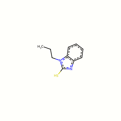 CCCn1c(S)nc2ccccc21